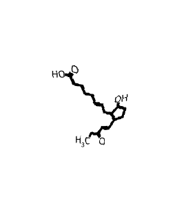 CCC(=O)/C=C/C1CCC(O)C1C/C=C/CCCCC(=O)O